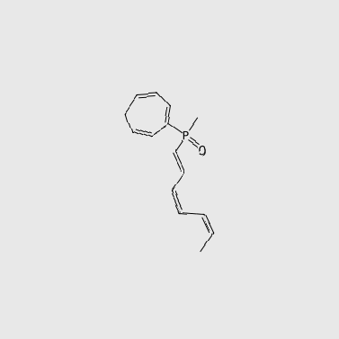 C\C=C/C=C\C=C\P(C)(=O)C1=CC=CCC=C1